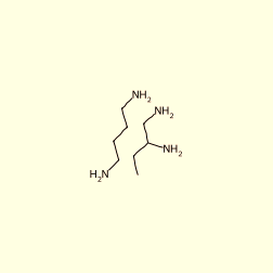 CCC(N)CN.NCCCCN